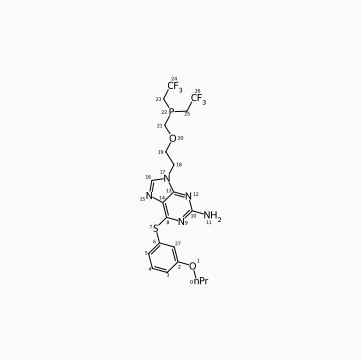 CCCOc1cccc(Sc2nc(N)nc3c2ncn3CCOCP(CC(F)(F)F)CC(F)(F)F)c1